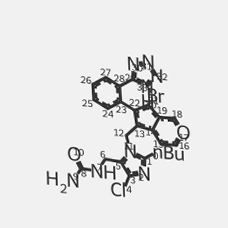 CCCCc1nc(Cl)c(CNC(N)=O)n1Cc1c2ccocc-2c(Br)c1-c1ccccc1-c1nnn[nH]1